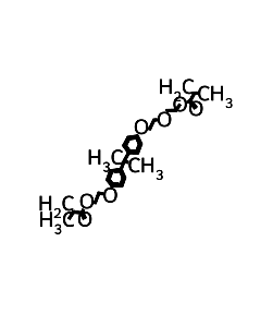 C=C(C)C(=O)OCCOCCOc1ccc(C(C)(C)c2ccc(OCCOC(=O)C(=C)C)cc2)cc1